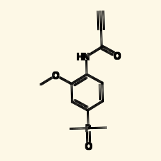 C#CC(=O)Nc1ccc(P(C)(C)=O)cc1OC